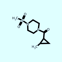 CC1CC1C(=O)N1CCN(S(C)(=O)=O)CC1